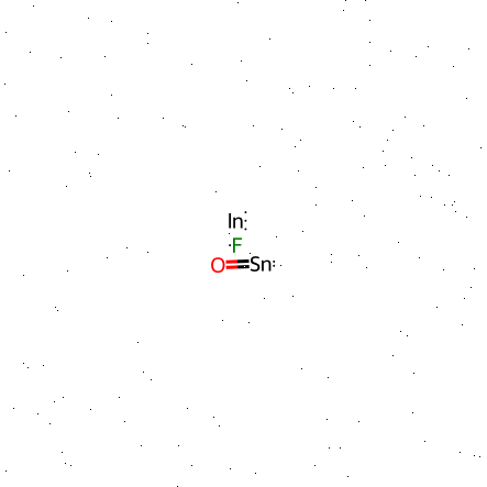 [F].[In].[O]=[Sn]